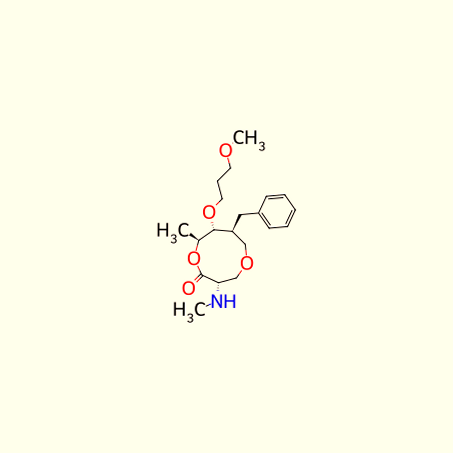 CN[C@H]1COC[C@H](Cc2ccccc2)[C@@H](OCCCOC)[C@H](C)OC1=O